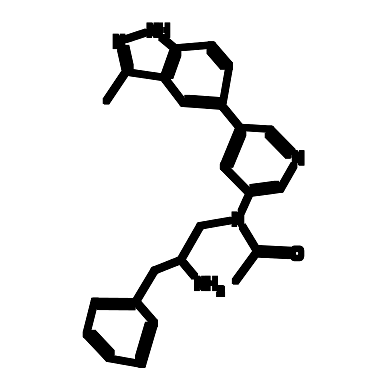 CC(=O)N(CC(N)Cc1ccccc1)c1cncc(-c2ccc3[nH]nc(C)c3c2)c1